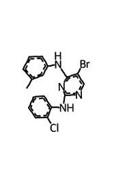 Cc1cccc(Nc2nc(Nc3ccccc3Cl)ncc2Br)c1